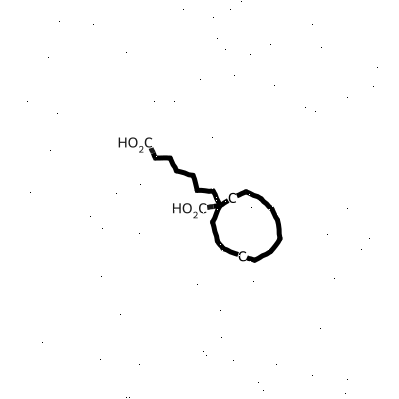 O=C(O)CCCCCCC1(C(=O)O)CCCCCCCCCCCC1